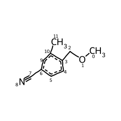 COCc1ccc(C#N)cc1C